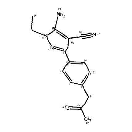 CCn1nc(-c2ccc(CC(=O)O)nc2)c(C#N)c1N